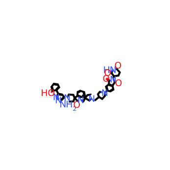 Nc1nnc(-c2ccccc2O)cc1N1CCC(C(=O)N2CC3(CCN(CC4CCN(c5ccc6c(c5)C(=O)N(C5CCC(=O)NC5=O)C6=O)CC4)C3)C2)(c2ccccc2)CC1